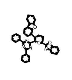 c1ccc(-c2nc(-c3ccccc3)nc(-c3cc(-c4nc5ccccc5o4)ccc3-c3cccc4c3oc3ccccc34)n2)cc1